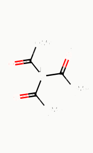 COC(=O)[SiH](C(=O)OC)C(=O)OC